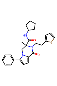 CC1(C(=O)NC2CCCC2)Cn2c(ccc2-c2ccccc2)C(=O)N1CCc1cccs1